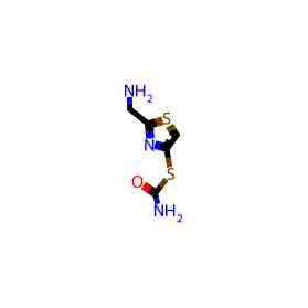 NCc1nc(SC(N)=O)cs1